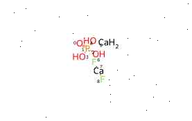 O=P(O)(O)O.[CaH2].[F][Ca][F]